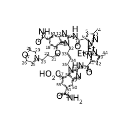 CCn1nc(C)cc1C(=O)Nc1nc2cc(C(N)=O)cc(OCCCN3CCOCC3)c2n1CC=CCn1c(NC(=O)c2cc(C)nn2CC)nc2cc(C(N)=O)cc(C(=O)O)c21